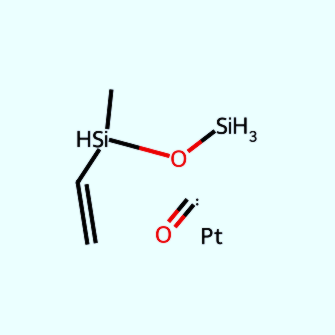 C=C[SiH](C)O[SiH3].[C]=O.[Pt]